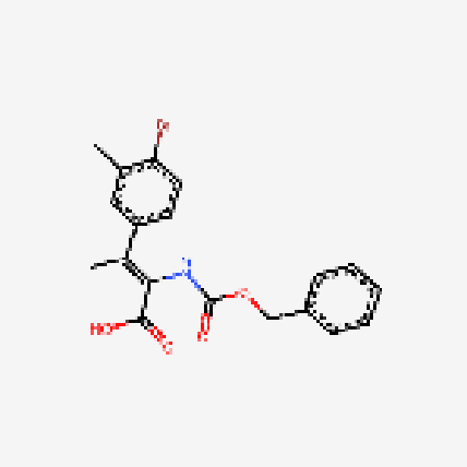 CC(=C(NC(=O)OCc1ccccc1)C(=O)O)c1ccc(Br)c(C)c1